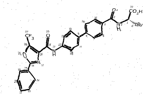 CC(C)(C)[C@H](NC(=O)c1ccc(-c2ccc(NC(=O)c3nc(-c4ccccc4)oc3C(F)(F)F)cc2)cc1)C(=O)O